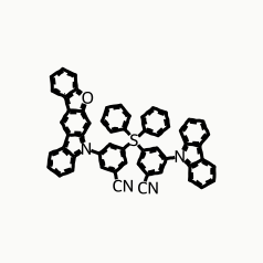 N#Cc1cc(-n2c3ccccc3c3ccccc32)cc(S(c2ccccc2)(c2ccccc2)c2cc(C#N)cc(-n3c4ccccc4c4cc5c(cc43)oc3ccccc35)c2)c1